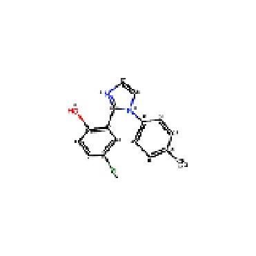 Oc1ccc(Cl)cc1-c1nccn1-c1ccc(C(F)(F)F)cc1